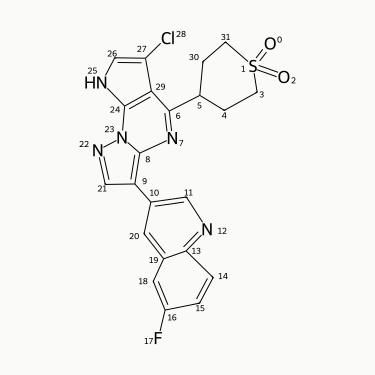 O=S1(=O)CCC(c2nc3c(-c4cnc5ccc(F)cc5c4)cnn3c3[nH]cc(Cl)c23)CC1